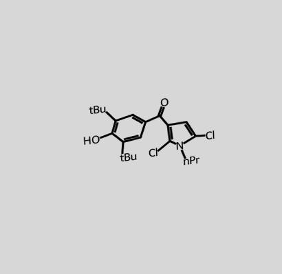 CCCn1c(Cl)cc(C(=O)c2cc(C(C)(C)C)c(O)c(C(C)(C)C)c2)c1Cl